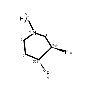 CC(C)[C@@H]1CCN(C)C[C@H]1F